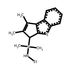 CCN[Si](C)(C)C1C(C)=C(C)c2c1sc1ccccc21